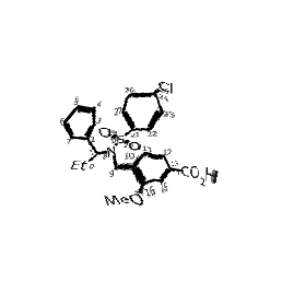 CC[C@@H](c1ccccc1)N(Cc1ccc(C(=O)O)cc1OC)S(=O)(=O)c1ccc(Cl)cc1